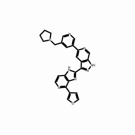 c1cc2[nH]c(-c3n[nH]c4cnc(-c5cncc(CN6CCCC6)c5)cc34)nc2c(-c2ccoc2)n1